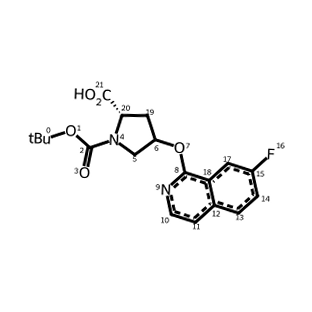 CC(C)(C)OC(=O)N1CC(Oc2nccc3ccc(F)cc23)C[C@H]1C(=O)O